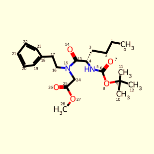 CCCC[C@H](NC(=O)OC(C)(C)C)C(=O)N(CCc1ccccc1)CC(=O)OC